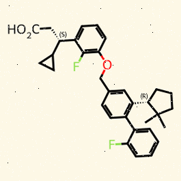 CC1(C)CCC[C@H]1c1cc(COc2cccc([C@@H](CC(=O)O)C3CC3)c2F)ccc1-c1ccccc1F